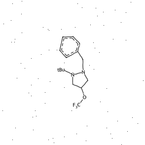 CC(C)(C)N1CC(OC(F)(F)F)CN1Cc1ccccc1